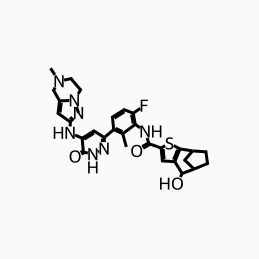 Cc1c(-c2cc(Nc3cc4n(n3)CCN(C)C4)c(=O)[nH]n2)ccc(F)c1NC(=O)c1cc2c(s1)C1CCC(C1)C2O